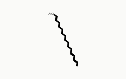 CC=CC=CCCCCCCCCCC=COC(C)=O